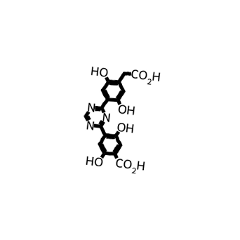 O=C(O)Cc1cc(O)c(-c2ncnc(-c3cc(O)c(C(=O)O)cc3O)n2)cc1O